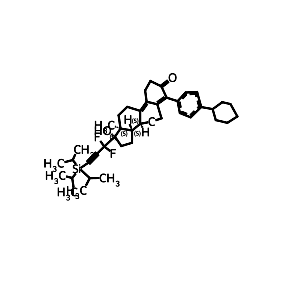 CC(C)[Si](C#CC(F)(F)[C@]1(O)CC[C@H]2[C@@H]3CCC4=C(c5ccc(C6CCCCC6)cc5)C(=O)CCC4=C3CC[C@@]21C)(C(C)C)C(C)C